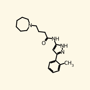 Cc1ccccc1-c1cc(NC(=O)CCCN2CCCCCC2)[nH]n1